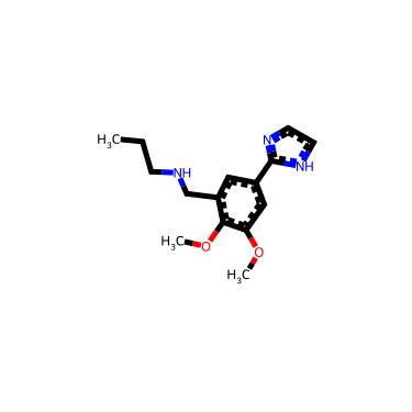 CCCNCc1cc(-c2ncc[nH]2)cc(OC)c1OC